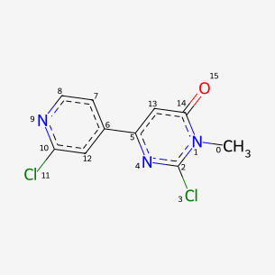 Cn1c(Cl)nc(-c2ccnc(Cl)c2)cc1=O